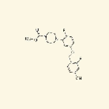 CC(C)(C)OC(=O)N1CCN(c2nc(OCc3ccc(C#N)cc3F)ccc2F)CC1